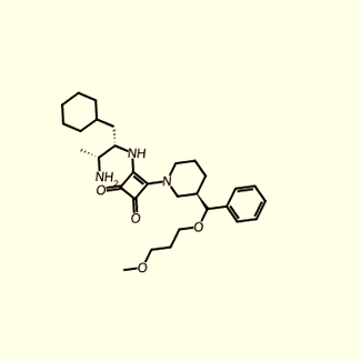 COCCCOC(c1ccccc1)[C@@H]1CCCN(c2c(N[C@@H](CC3CCCCC3)[C@@H](C)N)c(=O)c2=O)C1